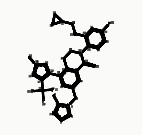 Cc1nccn1Cc1cc2c(c(-c3cn(C)nc3C(F)(F)F)c1)CCN(c1ccc(F)cc1OCC1CC1)C2=O